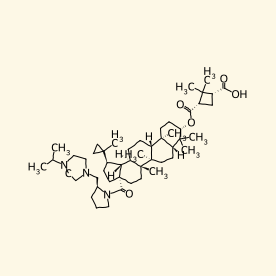 CC(C)N1CCN(C[C@@H]2CCCN2C(=O)[C@]23CC[C@@H](C4(C)CC4)[C@@H]2[C@H]2CC[C@@H]4[C@@]5(C)CC[C@H](OC(=O)[C@H]6C[C@@H](C(=O)O)C6(C)C)C(C)(C)[C@@H]5CC[C@@]4(C)[C@]2(C)CC3)CC1